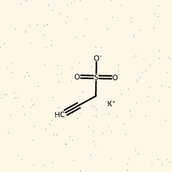 C#CCS(=O)(=O)[O-].[K+]